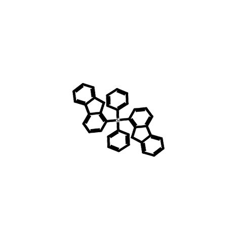 c1ccc([Si](c2ccccc2)(c2cccc3c2Cc2ccccc2-3)c2cccc3c2Cc2ccccc2-3)cc1